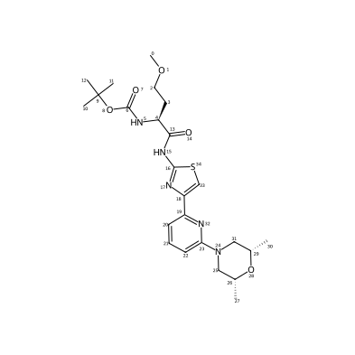 COCC[C@H](NC(=O)OC(C)(C)C)C(=O)Nc1nc(-c2cccc(N3C[C@@H](C)O[C@@H](C)C3)n2)cs1